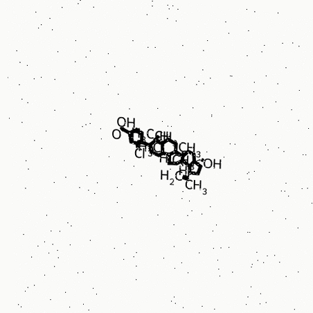 C=C(C)[C@@H]1CC[C@]2(CO)CC[C@]3(C)[C@H](CC[C@@H]4[C@@]5(C)CC=C(c6ccc(C(=O)O)cc6Cl)C(C)(C)[C@@H]5CC[C@]43C)C12